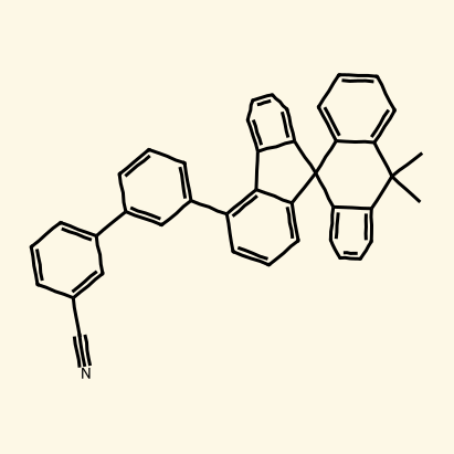 CC1(C)c2ccccc2C2(c3ccccc3-c3c(-c4cccc(-c5cccc(C#N)c5)c4)cccc32)c2ccccc21